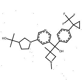 CN1CC(C)(C(O)(c2ccc(C3(C(F)(F)F)CC3)cc2)c2cncc(N3CCC(C(C)(C)O)C3)c2)C1